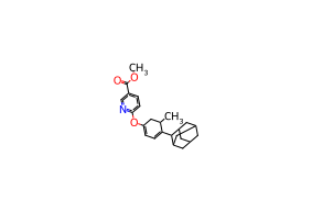 COC(=O)c1ccc(OC2=CC=C(C3C4CC5CC(C4)CC3C5)C(C)C2)nc1